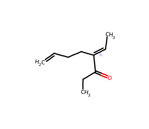 C=CCC/C(=C\C)C(=O)CC